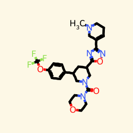 CN1CCC=C(c2noc(C3CC(c4ccc(OC(F)(F)F)cc4)CN(C(=O)N4CCOCC4)C3)n2)C1